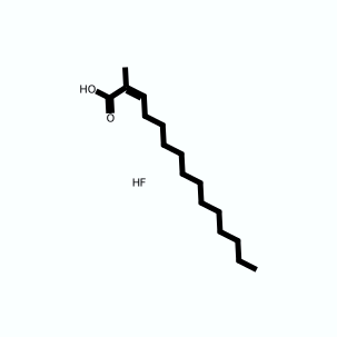 CCCCCCCCCCCCC=C(C)C(=O)O.F